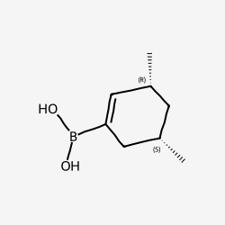 C[C@@H]1CC(B(O)O)=C[C@H](C)C1